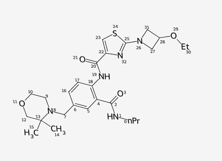 CCCNC(=O)c1cc(CN2CCOCC2(C)C)ccc1NC(=O)c1csc(N2CC(OCC)C2)n1